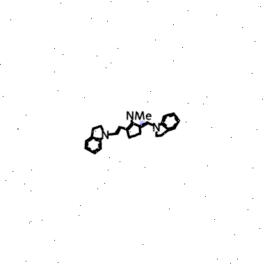 CNC1=C(C=CN2CCc3ccccc32)CC/C1=C\N1CCc2ccccc21